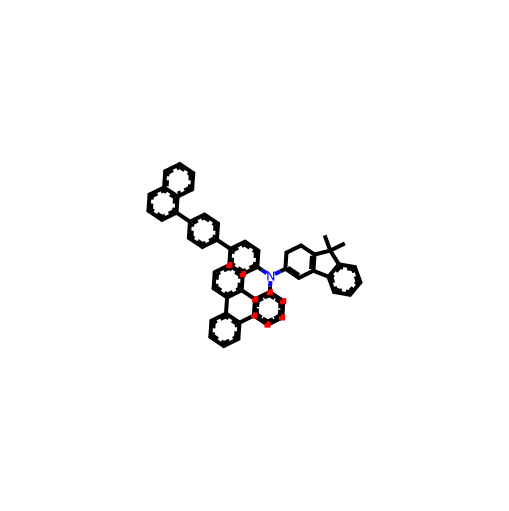 CC1(C)C2=C(C=C(N(c3ccc(-c4ccc(-c5cccc6ccccc56)cc4)cc3)c3ccccc3-c3ccccc3-c3ccccc3-c3ccccc3)CC2)c2ccccc21